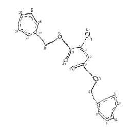 C/C(=C/C(=O)OCc1ccccc1)C(=O)OCc1ccccc1